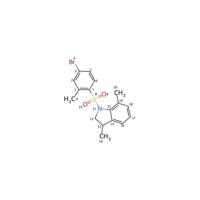 Cc1cc(Br)ccc1S(=O)(=O)N1CC(C)c2cccc(C)c21